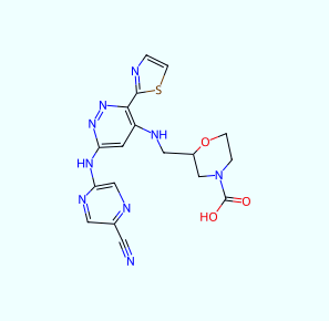 N#Cc1cnc(Nc2cc(NCC3CN(C(=O)O)CCO3)c(-c3nccs3)nn2)cn1